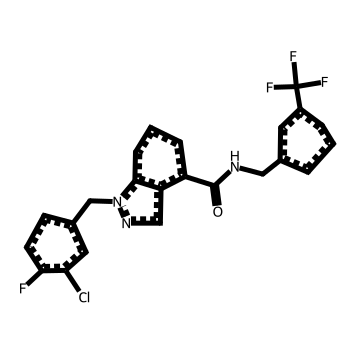 O=C(NCc1cccc(C(F)(F)F)c1)c1cccc2c1cnn2Cc1ccc(F)c(Cl)c1